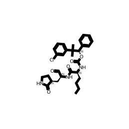 CCCC[C@H](NC(=O)O[C@@H](c1ccccc1)C(C)(C)c1cccc(Cl)c1)C(=O)N[C@H](C=O)C[C@@H]1CCNC1=O